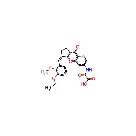 CCOc1cccc(/C=C2/CCc3c2oc2cc(NC(=O)C(=O)O)ccc2c3=O)c1OC